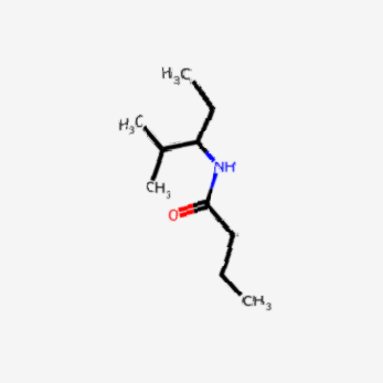 CC[CH]C(=O)NC(CC)C(C)C